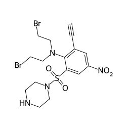 C#Cc1cc([N+](=O)[O-])cc(S(=O)(=O)N2CCNCC2)c1N(CCBr)CCBr